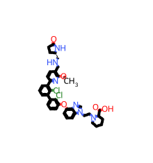 COc1nc(-c2cccc(-c3cccc(Oc4cccc5c4ncn5CCN4CCCCC4C(=O)O)c3Cl)c2Cl)ccc1CNC[C@@H]1CCC(=O)N1